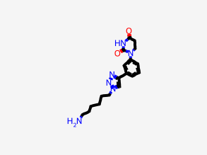 NCCCCCCn1cc(-c2cccc(N3CCC(=O)NC3=O)c2)nn1